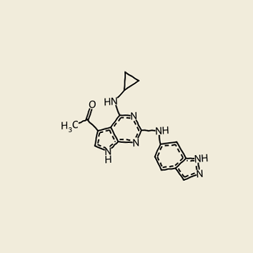 CC(=O)c1c[nH]c2nc(Nc3ccc4cn[nH]c4c3)nc(NC3CC3)c12